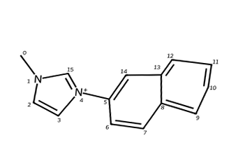 Cn1cc[n+](-c2ccc3ccccc3c2)c1